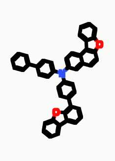 c1ccc(-c2ccc(N(c3ccc(-c4cccc5c4oc4ccccc45)cc3)c3ccc4c(ccc5oc6ccccc6c54)c3)cc2)cc1